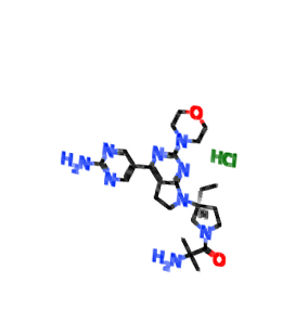 CC[C@]1(N2CCc3c(-c4cnc(N)nc4)nc(N4CCOCC4)nc32)CCN(C(=O)C(C)(C)N)C1.Cl